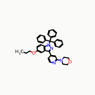 CCCOc1ccc2c(c1)c(-c1ccnc(N3CCOCC3)c1)nn2C(c1ccccc1)(c1ccccc1)c1ccccc1